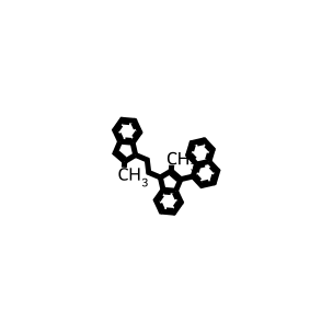 CC1=Cc2ccccc2C1CCC1C(C)=C(c2cccc3ccccc23)c2ccccc21